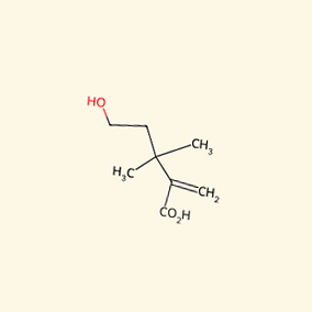 C=C(C(=O)O)C(C)(C)CCO